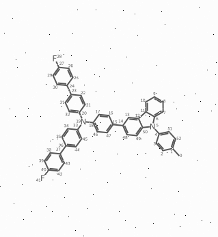 Cc1ccc(-n2c3ccccc3c3cc(-c4ccc(N(c5ccc(-c6ccc(F)cc6)cc5)c5ccc(-c6ccc(F)cc6)cc5)cc4)ccc32)cc1